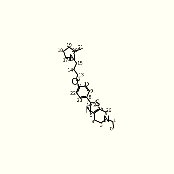 CCN1CCc2nc(-c3ccc(OCCCN4CCCC4C)cc3)sc2C1